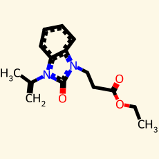 C=C(C)n1c(=O)n(CCC(=O)OCC)c2ccccc21